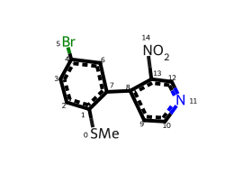 CSc1ccc(Br)cc1-c1ccncc1[N+](=O)[O-]